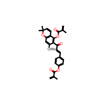 C=C(C)C(=O)Oc1ccc(C=CC(=O)c2c(OC)cc3c(c2OC(=O)C(=C)C)C=CC(C)(C)O3)cc1